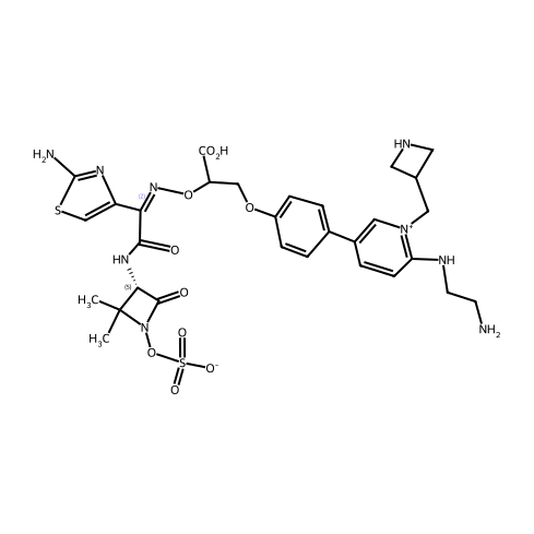 CC1(C)[C@H](NC(=O)/C(=N\OC(COc2ccc(-c3ccc(NCCN)[n+](CC4CNC4)c3)cc2)C(=O)O)c2csc(N)n2)C(=O)N1OS(=O)(=O)[O-]